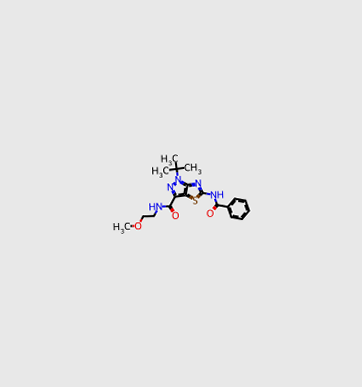 COCCNC(=O)c1nn(C(C)(C)C)c2nc(NC(=O)c3ccccc3)sc12